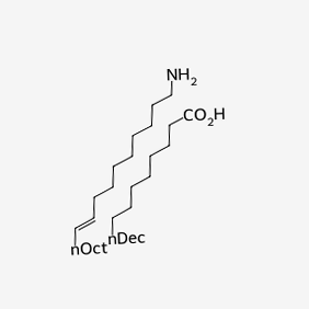 CCCCCCCCC=CCCCCCCCCN.CCCCCCCCCCCCCCCCCC(=O)O